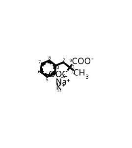 CC(Cc1ccccc1)(C(=O)[O-])C(=O)[O-].[K+].[Na+]